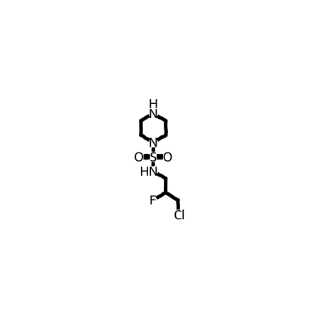 O=S(=O)(NCC(F)CCl)N1CCNCC1